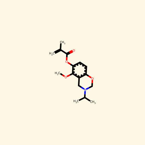 C=C(C)C(=O)Oc1ccc2c(c1OC)CN(C(C)C)CO2